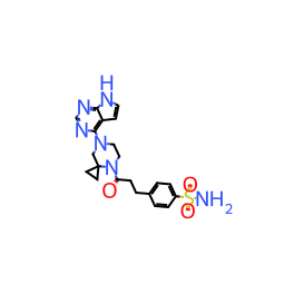 NS(=O)(=O)c1ccc(CCC(=O)N2CCN(c3ncnc4[nH]ccc34)CC23CC3)cc1